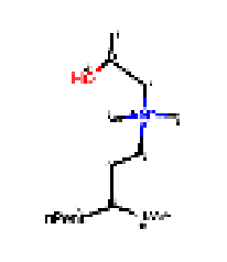 CCCCCC(CC[N+](C)(C)CC(C)O)OC